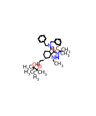 CCN[C@]1(C(=O)NC(C)(C)C)C[C@H](CCB2OC(C)(C)C(C)(C)O2)CC[C@H]1CN(Cc1ccccc1)Cc1ccccc1